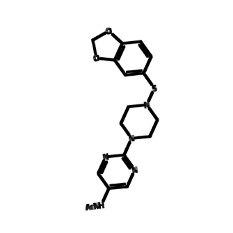 CC(=O)Nc1cnc(N2CCN(Sc3ccc4c(c3)OCO4)CC2)nc1